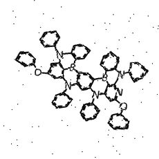 c1ccc(Oc2cc3c4c(c2)N(c2ccccc2)c2cc5c(cc2B4c2ccccc2N3c2ccccc2)B2c3ccccc3N(c3ccccc3)c3nc(Oc4ccccc4)cc(c32)N5c2ccccc2)cc1